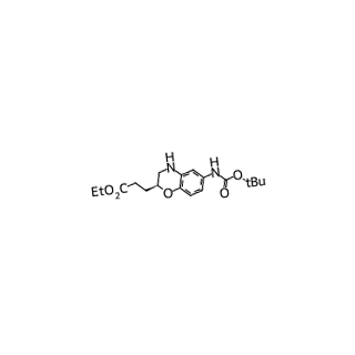 CCOC(=O)CC[C@H]1CNc2cc(NC(=O)OC(C)(C)C)ccc2O1